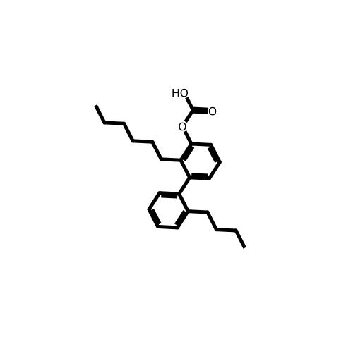 CCCCCCc1c(OC(=O)O)cccc1-c1ccccc1CCCC